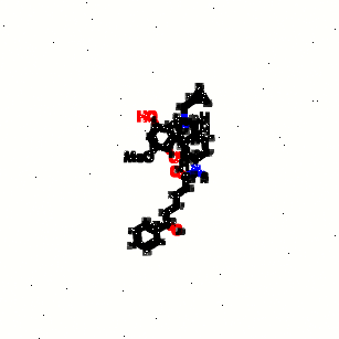 COc1cc(O)c2c3c1O[C@H]1[C@@H](N(C)C(=O)CCCCC(=O)c4ccccc4)CC[C@H]4[C@@H](C2)N(CC2CC2)CC[C@@]341